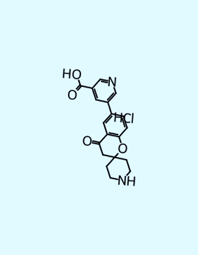 Cl.O=C(O)c1cncc(-c2ccc3c(c2)C(=O)CC2(CCNCC2)O3)c1